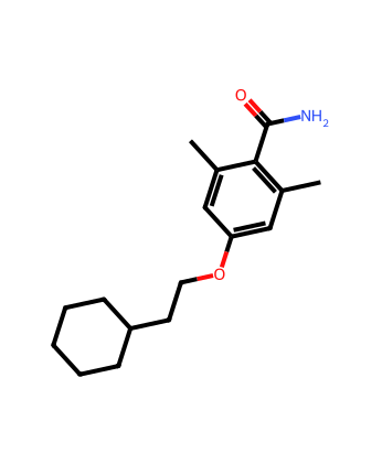 Cc1cc(OCCC2CCCCC2)cc(C)c1C(N)=O